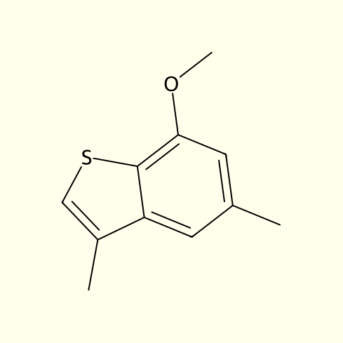 COc1cc(C)cc2c(C)csc12